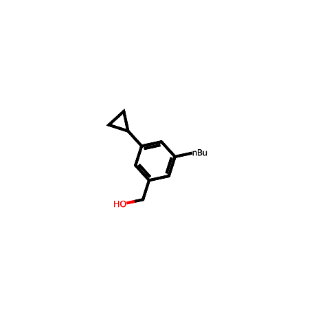 CCCCc1cc(CO)cc(C2CC2)c1